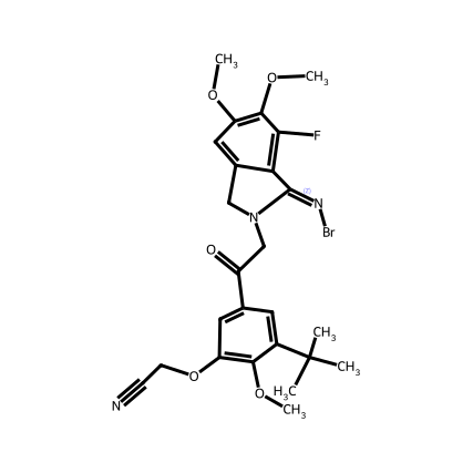 COc1cc2c(c(F)c1OC)/C(=N/Br)N(CC(=O)c1cc(OCC#N)c(OC)c(C(C)(C)C)c1)C2